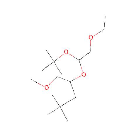 CCOCC(OC(COC)CC(C)(C)C)OC(C)(C)C